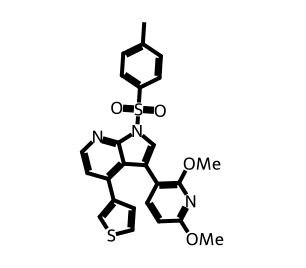 COc1ccc(-c2cn(S(=O)(=O)c3ccc(C)cc3)c3nccc(-c4ccsc4)c23)c(OC)n1